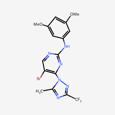 COc1cc(Nc2ncc(Br)c(-n3nc(C(F)(F)F)nc3C)n2)cc(OC)c1